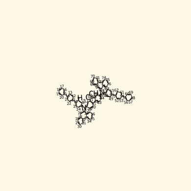 CC1(C)c2cc(N(c3ccc(-c4ccc(-c5ccccc5)cc4)cc3)c3cc4ccccc4c4ccccc34)ccc2-c2ccc(N(c3ccc(-c4ccc(-c5ccccc5)cc4)cc3)c3cc4ccccc4c4ccccc34)cc21